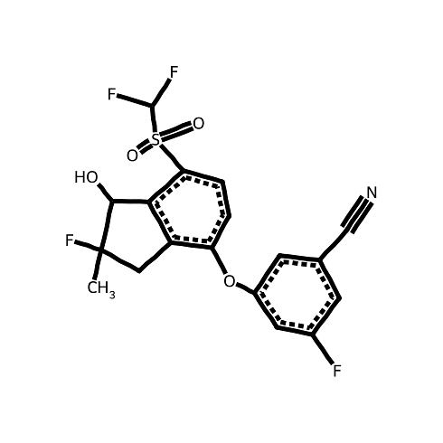 CC1(F)Cc2c(Oc3cc(F)cc(C#N)c3)ccc(S(=O)(=O)C(F)F)c2C1O